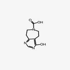 O=C(O)N1CCc2ncnc(O)c2CC1